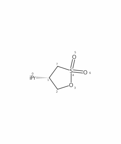 CC(C)[C@H]1COS(=O)(=O)C1